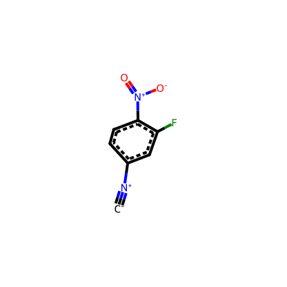 [C-]#[N+]c1ccc([N+](=O)[O-])c(F)c1